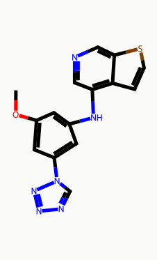 COc1cc(Nc2cncc3sccc23)cc(-n2cnnn2)c1